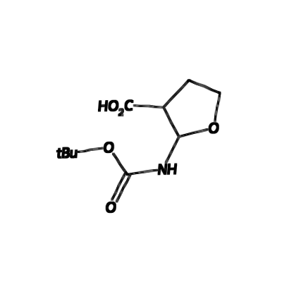 CC(C)(C)OC(=O)NC1OCCC1C(=O)O